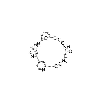 CN1CCCc2cc(ccn2)-c2ncnc(n2)Nc2cccc(c2)CCCNC(=O)C1